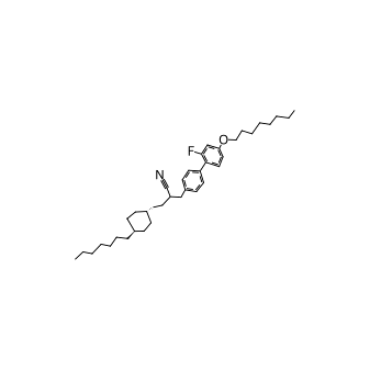 CCCCCCCCOc1ccc(-c2ccc(CC(C#N)CC[C@H]3CC[C@H](CCCCCCC)CC3)cc2)c(F)c1